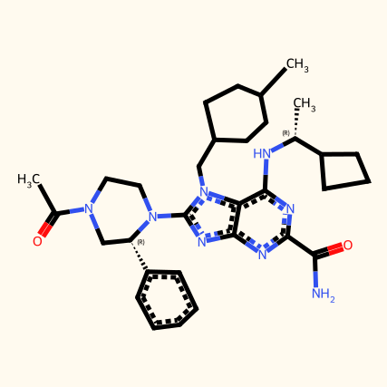 CC(=O)N1CCN(c2nc3nc(C(N)=O)nc(N[C@H](C)C4CCC4)c3n2CC2CCC(C)CC2)[C@H](c2ccccc2)C1